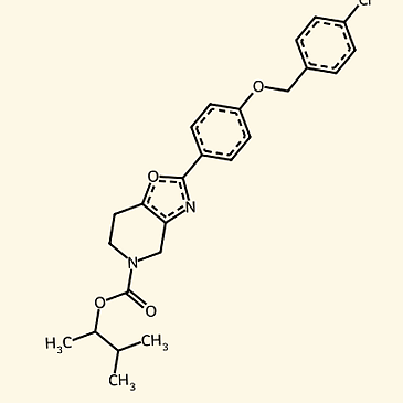 CC(C)C(C)OC(=O)N1CCc2oc(-c3ccc(OCc4ccc(Cl)cc4)cc3)nc2C1